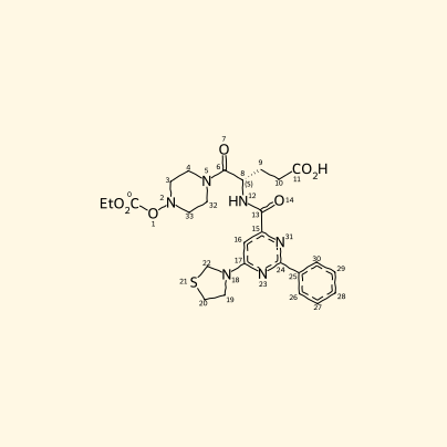 CCOC(=O)ON1CCN(C(=O)[C@H](CCC(=O)O)NC(=O)c2cc(N3CCSC3)nc(-c3ccccc3)n2)CC1